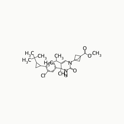 COC(=O)C12CC(N3C=C(C(C)C)C(C)(c4ccc(C5CC5C(C)(C)C)c(Cl)c4)NC3=O)(C1)C2